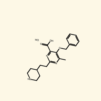 Cc1nc(CCC2CCNCC2)nc(C(=O)O)c1OCc1ccccc1.Cl